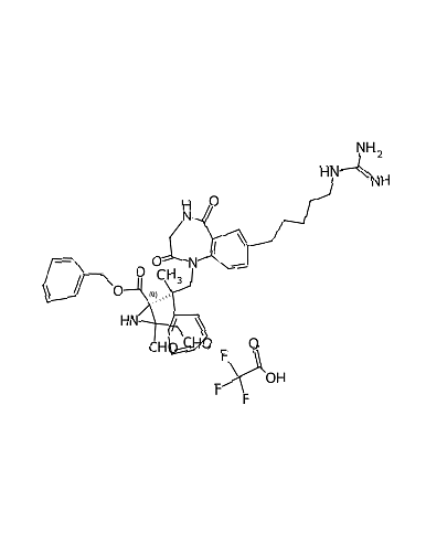 CC(CN1C(=O)CNC(=O)c2cc(CCCCCNC(=N)N)ccc21)(c1ccccc1)[C@@]1(C(=O)OCc2ccccc2)NC1(C=O)CC=O.O=C(O)C(F)(F)F